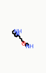 c1cc2c(nc1CCCCCO[C@@H]1CCNC1)NCCC2